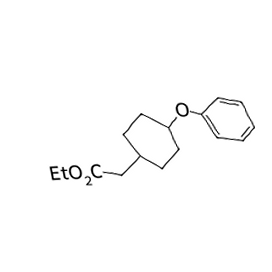 CCOC(=O)CC1CCC(Oc2ccccc2)CC1